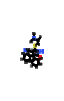 CC(CSC1=C(C#N)C(c2ccccc2)(c2ccccc2)C(=O)N1)N(C)C